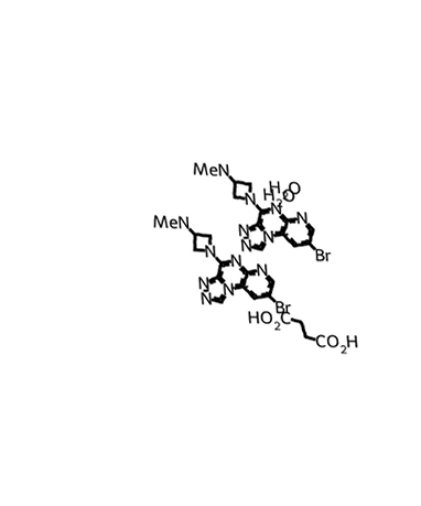 CNC1CN(c2nc3ncc(Br)cc3n3cnnc23)C1.CNC1CN(c2nc3ncc(Br)cc3n3cnnc23)C1.O.O.O=C(O)CCC(=O)O